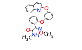 CNC(=O)C(=NOC)c1ccccc1Oc1cccc(Oc2ccc3ccccc3n2)c1